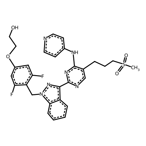 CS(=O)(=O)CCCc1cnc(-c2nn(Cc3c(F)cc(OCCO)cc3F)c3ccccc23)nc1Nc1ccncc1